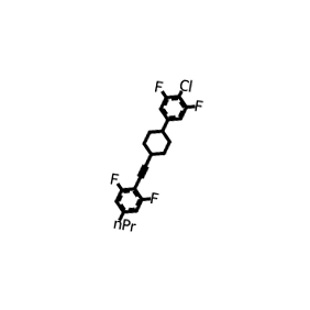 CCCc1cc(F)c(C#CC2CCC(c3cc(F)c(Cl)c(F)c3)CC2)c(F)c1